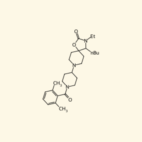 CCCCC1N(CC)C(=O)OC12CCN(C1CCN(C(=O)c3c(C)cccc3C)CC1)CC2